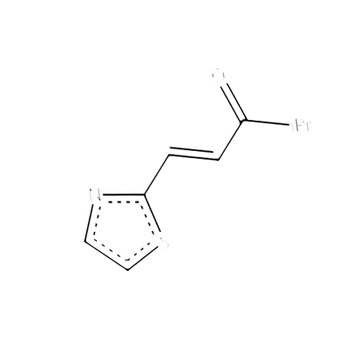 CC(C)C(=O)C=Cc1nccs1